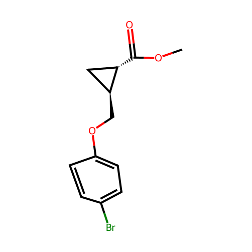 COC(=O)[C@H]1C[C@@H]1COc1ccc(Br)cc1